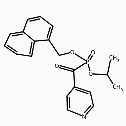 CC(C)OP(=O)(OCc1cccc2ccccc12)C(=O)c1ccncc1